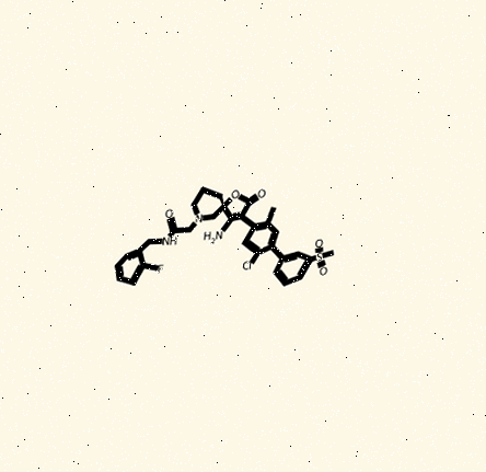 Cc1cc(-c2cccc(S(C)(=O)=O)c2)c(Cl)cc1C1=C(N)[C@@]2(CCCN(CC(=O)NCc3ccccc3F)C2)OC1=O